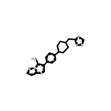 Nc1c(-c2ccc(C3CCC(Cc4ncon4)CC3)cc2)cnc2ccnn12